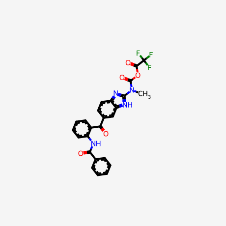 CN(C(=O)OC(=O)C(F)(F)F)c1nc2ccc(C(=O)c3ccccc3NC(=O)c3ccccc3)cc2[nH]1